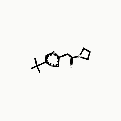 CC(C)(C)c1cnc(CC(=O)N2CCC2)cn1